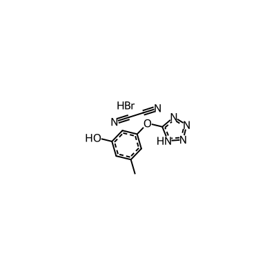 Br.Cc1cc(O)cc(Oc2nnn[nH]2)c1.N#CC#N